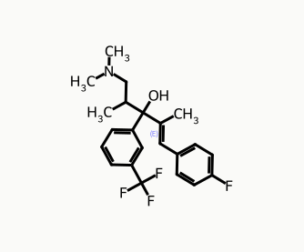 C/C(=C\c1ccc(F)cc1)C(O)(c1cccc(C(F)(F)F)c1)C(C)CN(C)C